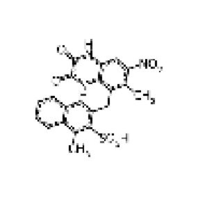 Cc1c([N+](=O)[O-])cc2[nH]c(=O)c(=O)[nH]c2c1Cc1cc2ccccc2c(C)c1S(=O)(=O)O